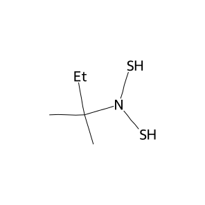 CCC(C)(C)N(S)S